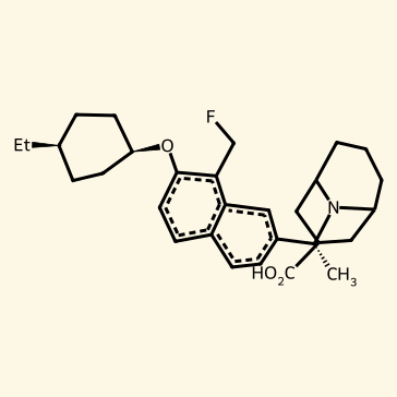 CC[C@H]1CC[C@@H](Oc2ccc3ccc([C@@H](C)N4C5CCCC4CC(C(=O)O)C5)cc3c2CF)CC1